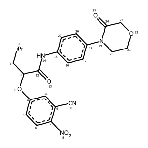 CC(C)CC(Oc1ccc([N+](=O)[O-])c(C#N)c1)C(=O)Nc1ccc(N2CCOCC2=O)cc1